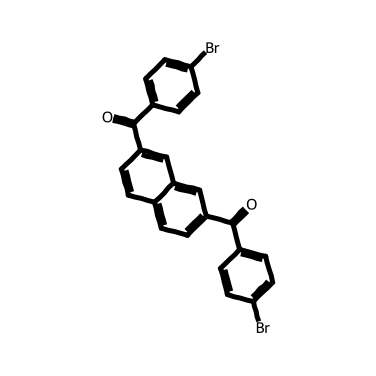 O=C(c1ccc(Br)cc1)c1ccc2ccc(C(=O)c3ccc(Br)cc3)cc2c1